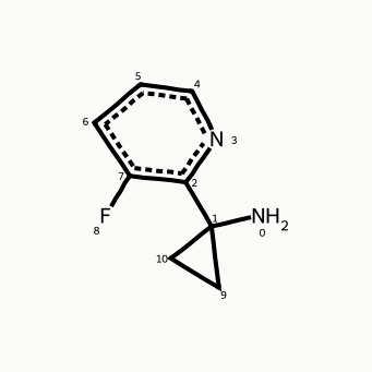 NC1(c2ncccc2F)CC1